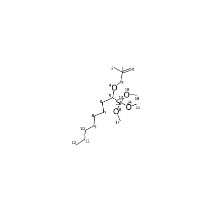 C=C(C)COC(CCCCCCC)[Si](OC)(OC)OC